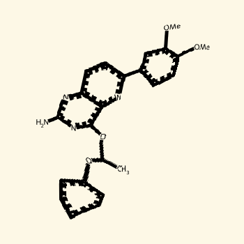 COc1ccc(-c2ccc3nc(N)nc(OC(C)Oc4ccccc4)c3n2)cc1OC